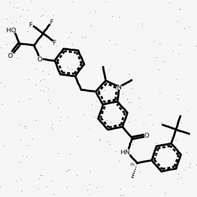 Cc1c(Cc2cccc(OC(C(=O)O)C(F)(F)F)c2)c2ccc(C(=O)N[C@@H](C)c3cccc(C(C)(C)C)c3)cc2n1C